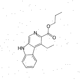 CCCOC(=O)c1ncc2[nH]c3ccccc3c2c1CC